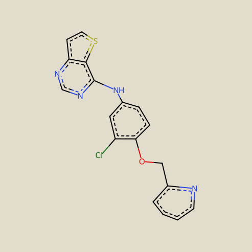 Clc1cc(Nc2ncnc3ccsc23)ccc1OCc1ccccn1